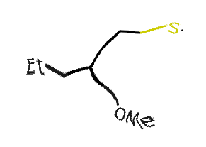 CCC(C[S])OC